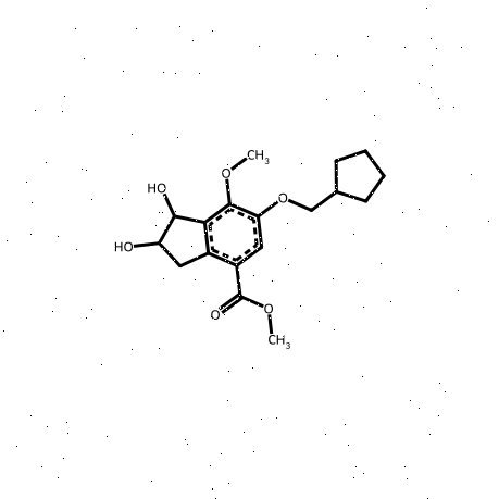 COC(=O)c1cc(OCC2CCCC2)c(OC)c2c1CC(O)C2O